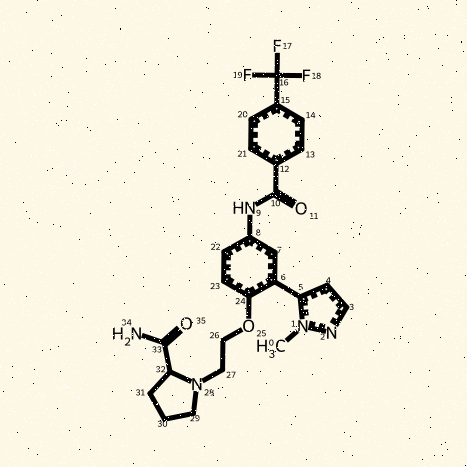 Cn1nccc1-c1cc(NC(=O)c2ccc(C(F)(F)F)cc2)ccc1OCCN1CCCC1C(N)=O